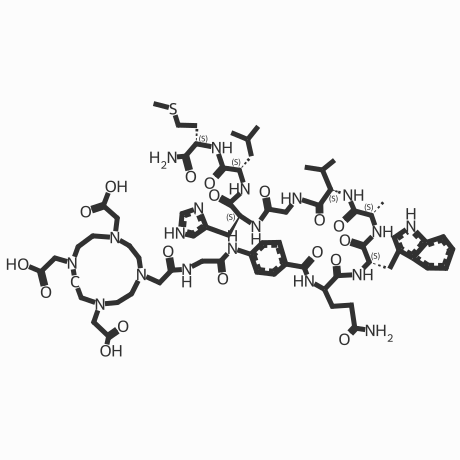 CSCC[C@H](NC(=O)[C@H](CC(C)C)NC(=O)[C@H](Cc1c[nH]cn1)NC(=O)CNC(=O)[C@@H](NC(=O)[C@H](C)NC(=O)[C@H](Cc1c[nH]c2ccccc12)NC(=O)C(CCC(N)=O)NC(=O)c1ccc(NC(=O)CNC(=O)CN2CCN(CC(=O)O)CCN(CC(=O)O)CCN(CC(=O)O)CC2)cc1)C(C)C)C(N)=O